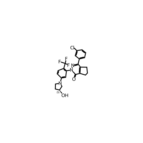 O=c1c2c(c(-c3cccc(Cl)c3)nn1-c1cc(N3CC[C@H](O)C3)ccc1C(F)(F)F)CCC2